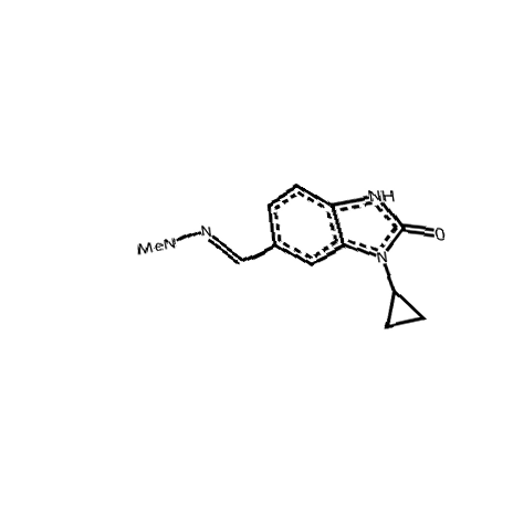 CN/N=C/c1ccc2[nH]c(=O)n(C3CC3)c2c1